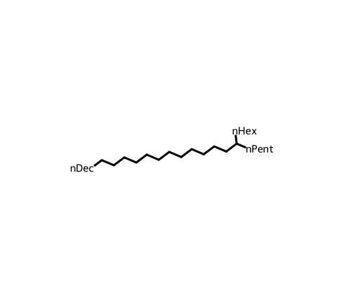 [CH2]CCCCC(CCCCCC)CCCCCCCCCCCCCCCCCCCCCC